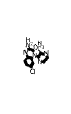 Cc1nccnc1-n1c(=O)c(N)nc2ccc(Cl)cc21